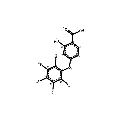 O=C(O)c1ccc(Oc2c(F)c(F)c(F)c(F)c2F)cc1O